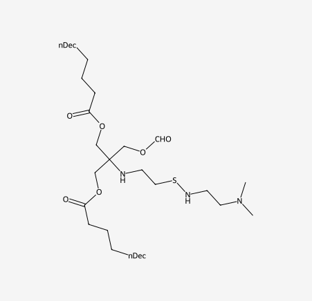 CCCCCCCCCCCCCC(=O)OCC(COC=O)(COC(=O)CCCCCCCCCCCCC)NCCSNCCN(C)C